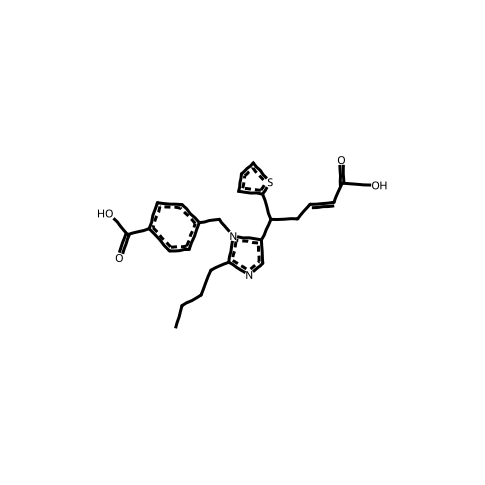 CCCCc1ncc(C(C/C=C/C(=O)O)c2cccs2)n1Cc1ccc(C(=O)O)cc1